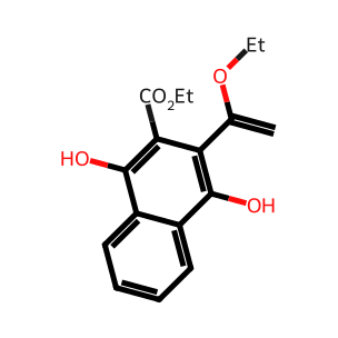 C=C(OCC)c1c(C(=O)OCC)c(O)c2ccccc2c1O